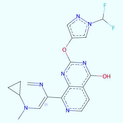 C=N/C(=C\N(C)C1CC1)c1nccc2c(O)nc(Oc3cnn(C(F)F)c3)nc12